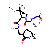 CC1(C)CCC(CC(C#N)NC(=O)C2C3C(CN2C(=O)[C@H](NC(=O)C(F)(F)F)C(C)(C)C)C3(C)C)C(=O)N1